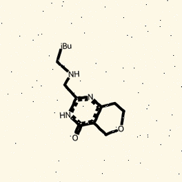 CCC(C)CNCc1nc2c(c(=O)[nH]1)COCC2